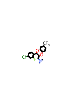 CN(C)/C=C(\Oc1ccc(C(F)(F)F)cc1)C(=O)c1ccc(Cl)cc1F